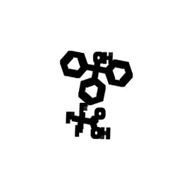 O=C(O)C(F)(F)F.OC(c1ccccc1)(c1ccccc1)c1ccccc1